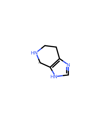 [C]1NCCc2nc[nH]c21